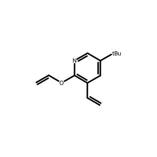 C=COc1ncc(C(C)(C)C)cc1C=C